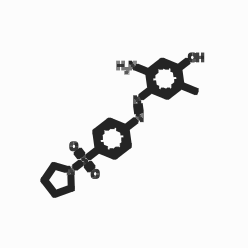 Cc1cc(/N=N/c2ccc(S(=O)(=O)N3CCCC3)cc2)c(N)cc1O